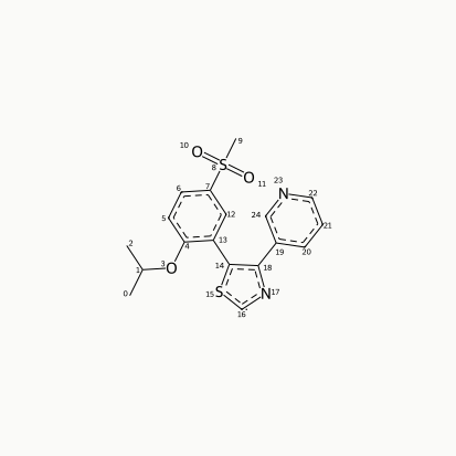 CC(C)Oc1ccc(S(C)(=O)=O)cc1-c1s[c]nc1-c1cccnc1